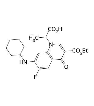 CCOC(=O)c1cn(C(C)C(=O)O)c2cc(NC3CCCCC3)c(F)cc2c1=O